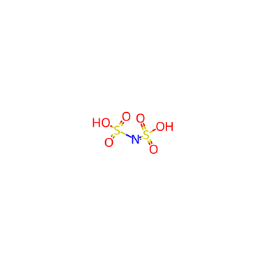 O=S(=O)(O)[N]S(=O)(=O)O